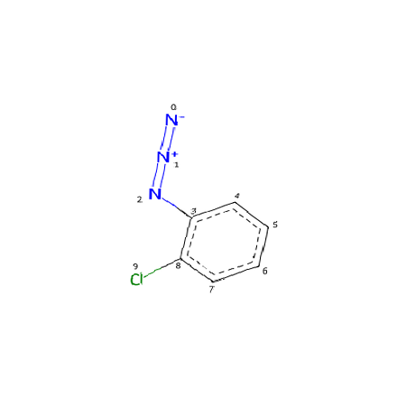 [N-]=[N+]=Nc1ccccc1Cl